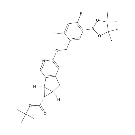 CC(C)(C)OC(=O)[C@H]1[C@@H]2Cc3cc(OCc4cc(B5OC(C)(C)C(C)(C)O5)c(F)cc4F)ncc3[C@@H]21